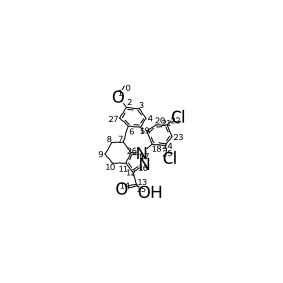 COc1cccc(C2CCCc3c(C(=O)O)nn(-c4ccc(Cl)cc4Cl)c32)c1